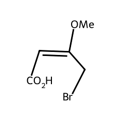 COC(=CC(=O)O)CBr